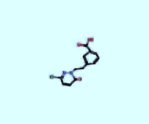 O=C(O)c1cccc(CCn2nc(Cl)ccc2=O)c1